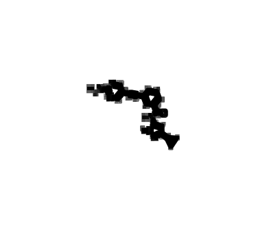 Cn1nc(C2CC2)cc1NC(=O)c1cccc(C#Cc2cnc(N)nc2)c1